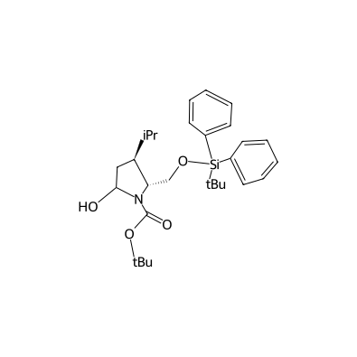 CC(C)[C@@H]1CC(O)N(C(=O)OC(C)(C)C)[C@H]1CO[Si](c1ccccc1)(c1ccccc1)C(C)(C)C